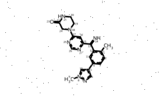 Cc1ccc(-c2cnn(C)c2)cc1C(=N)c1cc(N2CCNC(=O)C2)ncn1